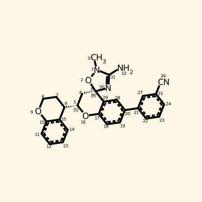 CN1O[C@@]2(C[C@@H](C3CCOc4ccccc43)Oc3ccc(-c4cccc(C#N)c4)cc32)N=C1N